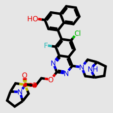 O=S1(=O)CC2CCC(C1)N2CCCOc1nc(N2CC3CCC(C2)N3)c2cc(Cl)c(-c3cc(O)cc4ccccc34)c(F)c2n1